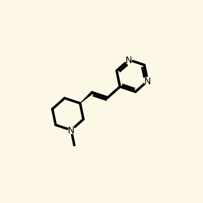 CN1CCC[C@@H](/C=C/c2cncnc2)C1